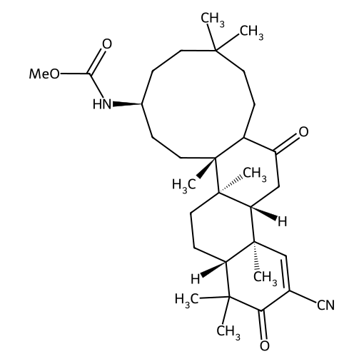 COC(=O)N[C@H]1CCC(C)(C)CCC2C(=O)C[C@@H]3[C@@]4(C)C=C(C#N)C(=O)C(C)(C)[C@@H]4CC[C@@]3(C)[C@]2(C)CC1